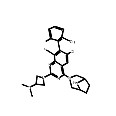 CN(C)C1CN(c2nc(N3CC4CCC(C3)N4)c3cc(Cl)c(-c4c(O)cccc4F)c(F)c3n2)C1